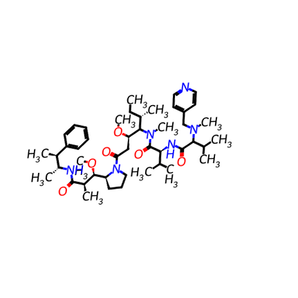 CC[C@H](C)C([C@@H](CC(=O)N1CCC[C@H]1[C@H](OC)[C@@H](C)C(=O)N[C@H](C)[C@@H](C)c1ccccc1)OC)N(C)C(=O)[C@@H](NC(=O)C(C(C)C)N(C)Cc1ccncc1)C(C)C